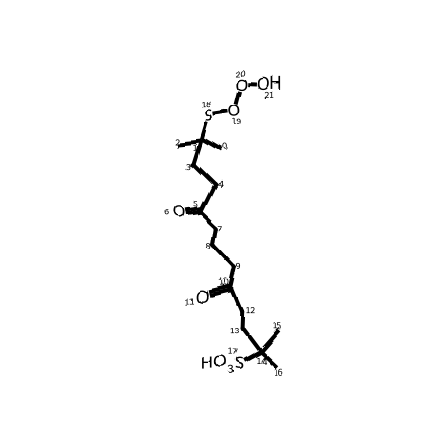 CC(C)(CCC(=O)CCCC(=O)CCC(C)(C)S(=O)(=O)O)SOOO